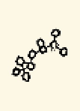 c1ccc(-c2cc(-c3ccc(-c4cccc(-c5cccc6c5-c5ccccc5C6(c5ccccc5)c5ccccc5)c4)c4ccccc34)nc(-c3ccccc3)n2)cc1